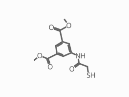 COC(=O)c1cc(NC(=O)CS)cc(C(=O)OC)c1